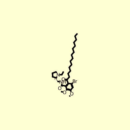 CCCCCCCCCCCCCCCC(=O)c1c(Br)cc(OC)c(OC)c1C(=O)NC[C@@H]1CCCN1CC